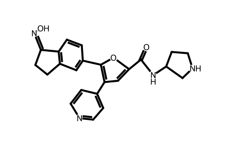 O=C(NC1CCNC1)c1cc(-c2ccncc2)c(-c2ccc3c(c2)CC/C3=N/O)o1